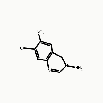 NN1C=Nc2cc(Cl)c([N+](=O)[O-])cc2C1